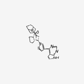 O=C(C1CCCC1)N1C2CCC1CC(N1CC(n3cc(-c4ncnc5[nH]ccc45)cn3)C1)C2